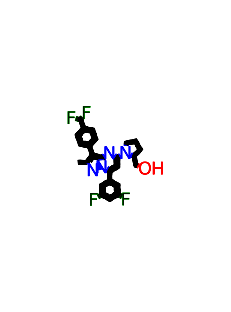 Cc1nn2c(-c3cc(F)cc(F)c3)cc(N3CCCC3CO)nc2c1-c1ccc(C(F)F)cc1